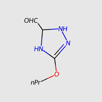 CCCOC1=NNC(C=O)N1